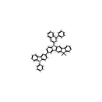 CC1(C)c2ccccc2-c2cc3c(cc21)c1cc(-c2ccc4c(c2)c2ccccc2n4-c2ccccc2)ccc1n3-c1nc(-c2ccccc2)c2ccccc2n1